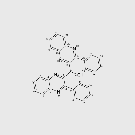 CC(c1nc2ccccc2nc1-c1ccccc1)c1nc2ccccc2nc1-c1ccccc1